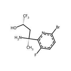 C[C@](N)(C[C@H](O)C(F)(F)F)c1nc(Br)ccc1F